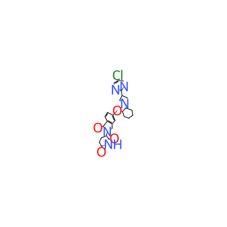 O=C1CCC(N2Cc3cc(O[C@H]4CCCC[C@H]4N4CC(c5ncc(Cl)cn5)C4)ccc3C2=O)C(=O)N1